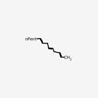 [CH2]C=CCC=CCC=CCCCCC